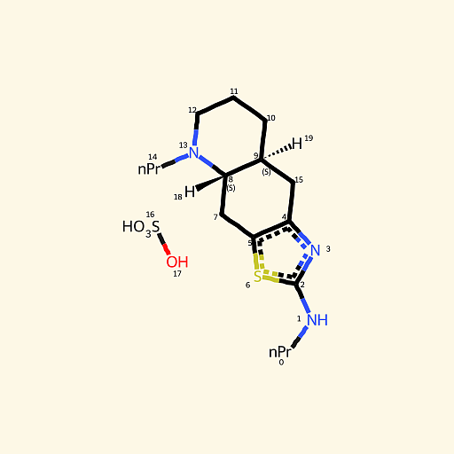 CCCNc1nc2c(s1)C[C@H]1[C@@H](CCCN1CCC)C2.O=S(=O)(O)O